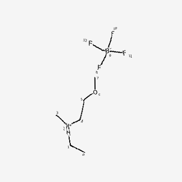 CC[NH+](C)CCOC.F[B-](F)(F)F